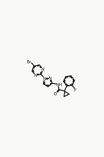 O=C(Nc1ccn(-c2ncc(Br)cn2)n1)C1(c2ccccc2F)CC1